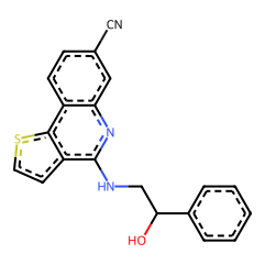 N#Cc1ccc2c(c1)nc(NCC(O)c1ccccc1)c1ccsc12